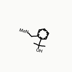 CNCc1ccccc1C(C)(C)O